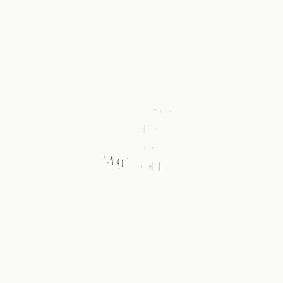 [Fe+2].[Mg+2].[OH-].[OH-].[OH-].[OH-]